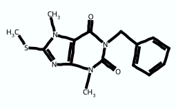 CSc1nc2c(c(=O)n(Cc3ccccc3)c(=O)n2C)n1C